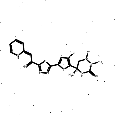 CN1C(=N)N[C@](C)(c2sc(-c3nnc(C(=N)/C=C4/C=CC=CN4)o3)cc2Cl)C[S+]1[O-]